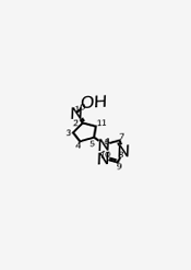 O/N=C1/CCC(n2cncn2)C1